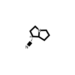 N#C[C@@H]1CCN2CCCC12